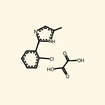 Cc1cnc(-c2ccccc2Cl)[nH]1.O=C(O)C(=O)O